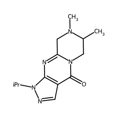 CC1Cn2c(nc3c(cnn3C(C)C)c2=O)CN1C